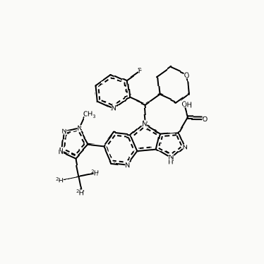 [2H]C([2H])([2H])c1nnn(C)c1-c1cnc2c3[nH]nc(C(=O)O)c3n(C(c3ncccc3F)C3CCOCC3)c2c1